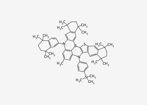 Cc1cc2c3c(c1)N(c1ccc([Si](C)(C)C)cc1)c1c(sc4cc5c(cc14)C(C)(C)CCC5(C)C)B3c1cc3c(cc1N2c1ccc2c(c1)C(C)(C)CCC2(C)C)C(C)(C)CCC3(C)C